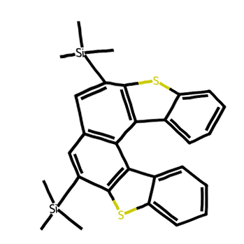 C[Si](C)(C)c1cc2cc([Si](C)(C)C)c3sc4ccccc4c3c2c2c1sc1ccccc12